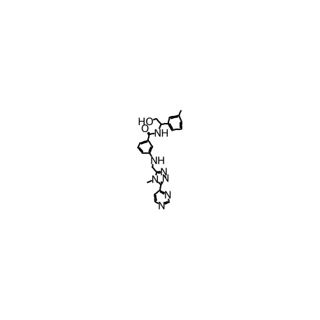 Cc1cccc(C(CO)NC(=O)c2cccc(NCc3nnc(-c4ccncn4)n3C)c2)c1